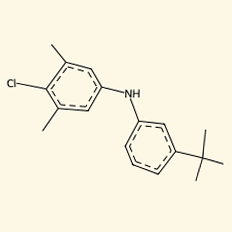 Cc1cc(Nc2cccc(C(C)(C)C)c2)cc(C)c1Cl